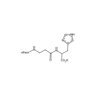 CCCCCNCCC(=O)NC(Cc1c[nH]cn1)C(=O)O